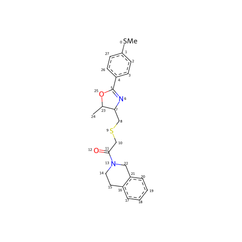 CSc1ccc(C2=NC(CSCC(=O)N3CCc4ccccc4C3)C(C)O2)cc1